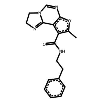 Cc1oc2c(c1C(=O)NCCc1ccccc1)C1=NCCN1C=N2